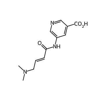 CN(C)CC=CC(=O)Nc1cncc(C(=O)O)c1